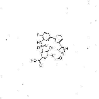 CO[C@@H]1CNC(c2cccc(-c3ccc(F)c(NS(=O)(=O)c4cc(C(=O)O)cc(Cl)c4O)c3)c2)C1